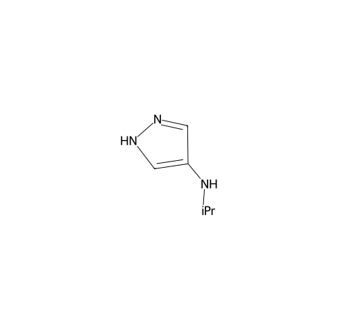 CC(C)Nc1cn[nH]c1